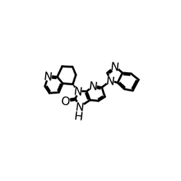 O=c1[nH]c2ccc(-n3cnc4ccccc43)nc2n1[C@@H]1CCCc2ncccc21